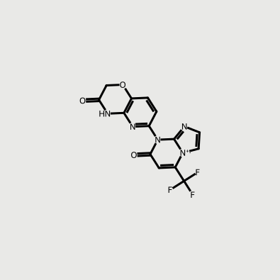 O=C1COc2ccc(N3C(=O)C=C(C(F)(F)F)[N+]4C=CN=C34)nc2N1